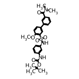 COc1ccc(-c2cccc(C(=O)N(C)C)c2)cc1S(=O)(=O)Nc1cccc(NC(=O)OC(C)(C)C)c1